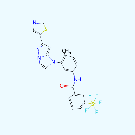 Cc1ccc(NC(=O)c2cccc(S(F)(F)(F)(F)F)c2)cc1-n1ccn2nc(-c3cncs3)cc12